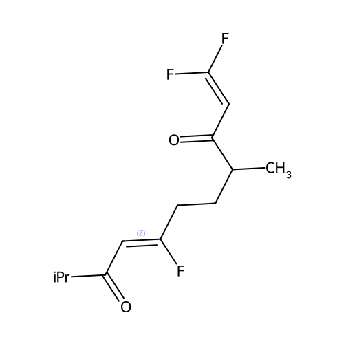 CC(C)C(=O)/C=C(\F)CCC(C)C(=O)C=C(F)F